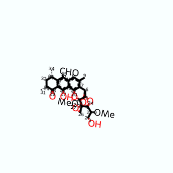 COC(CO)C12OC3c4c(C)cc5c(C=O)c6c(c(O)c5c4OC(OC)(C3O1)C21CO1)C(=O)[C@H](C)C[C@@H]6C